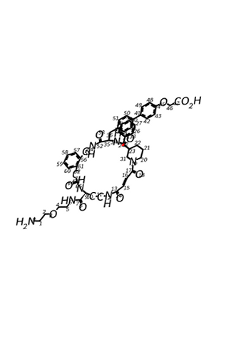 NCCOCCNC(=O)[C@@H]1CCNC(=O)/C=C/C(=O)N2CCC[C@](Cc3ccccc3)(C2)C(=O)NC(Cc2ccc(-c3ccc(OCC(=O)O)cc3)cc2)C(=O)NCc2ccccc2CC(=O)N1